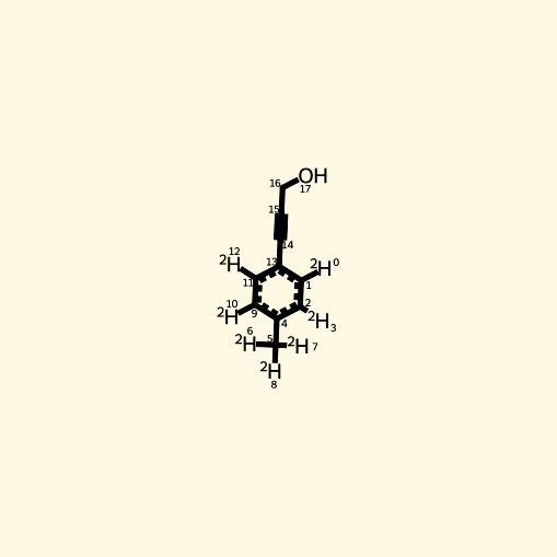 [2H]c1c([2H])c(C([2H])([2H])[2H])c([2H])c([2H])c1C#CCO